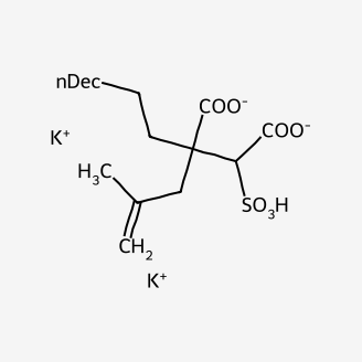 C=C(C)CC(CCCCCCCCCCCC)(C(=O)[O-])C(C(=O)[O-])S(=O)(=O)O.[K+].[K+]